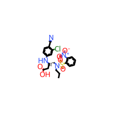 CCCN(C[C@H](CC(=O)O)Nc1ccc(C#N)c(Cl)c1)S(=O)(=O)c1ccccc1[N+](=O)[O-]